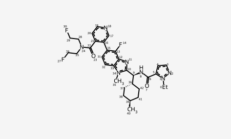 CCn1nccc1C(=O)N[C@H](c1nc2c(F)c(-c3cnccc3C(=O)N(CCF)CCF)ccc2n1C)[C@H]1CC[C@H](C)CC1